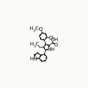 CCc1c(-c2cccc3[nH]ccc23)[nH]c(C(=O)O)c1-c1ccc(OC)cc1Cl